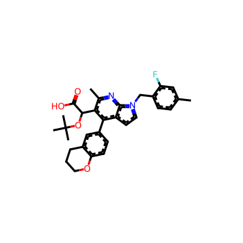 Cc1ccc(Cn2ccc3c(-c4ccc5c(c4)CCCO5)c(C(OC(C)(C)C)C(=O)O)c(C)nc32)c(F)c1